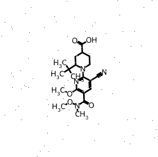 COc1nc(N2CCC(C(=O)O)CC2C(C)(C)C)c(C#N)cc1C(=O)N(C)OC